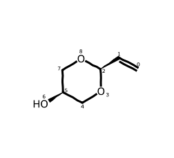 C=C[C@H]1OC[C@@H](O)CO1